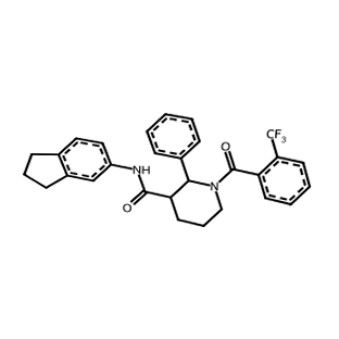 O=C(Nc1ccc2c(c1)CCC2)C1CCCN(C(=O)c2ccccc2C(F)(F)F)C1c1ccccc1